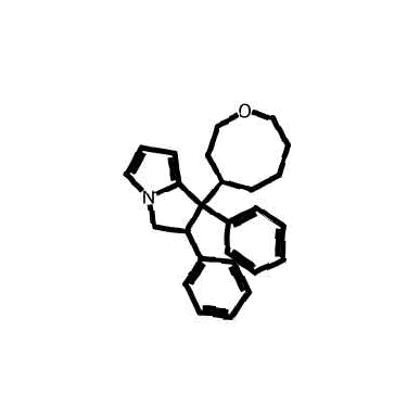 c1ccc(C2Cn3cccc3C2(c2ccccc2)C2CCCCOCC2)cc1